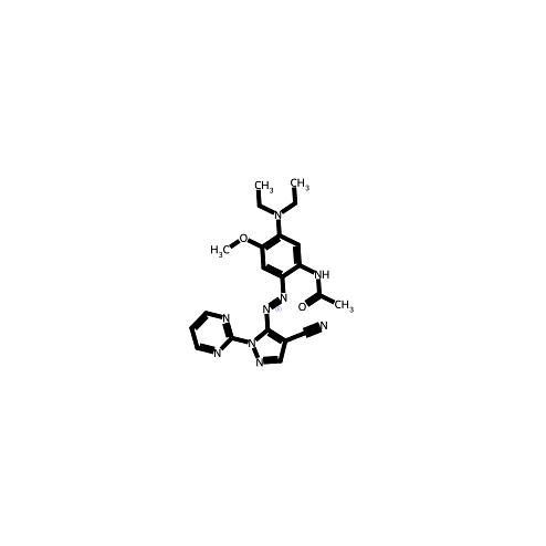 CCN(CC)c1cc(NC(C)=O)c(/N=N/c2c(C#N)cnn2-c2ncccn2)cc1OC